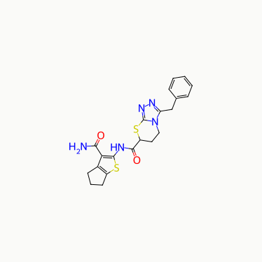 NC(=O)c1c(NC(=O)C2CCn3c(Cc4ccccc4)nnc3S2)sc2c1CCC2